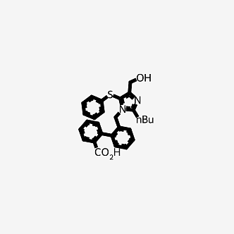 CCCCc1nc(CO)c(Sc2ccccc2)n1Cc1ccccc1-c1ccccc1C(=O)O